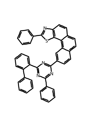 c1ccc(-c2nc(-c3ccc4ccc5ccc6nc(-c7ccccc7)sc6c5c4c3)nc(-c3ccccc3-c3ccccc3)n2)cc1